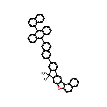 CC1(C)c2cc(-c3ccc4cc(-c5c6ccccc6c(-c6cccc7ccccc67)c6ccccc56)ccc4c3)ccc2-c2cc3c(cc21)oc1ccc2ccccc2c13